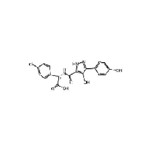 O=C(N[C@H](C(=O)O)c1ccc(Cl)cc1)c1[nH]nc(-c2ccc(O)cc2)c1O